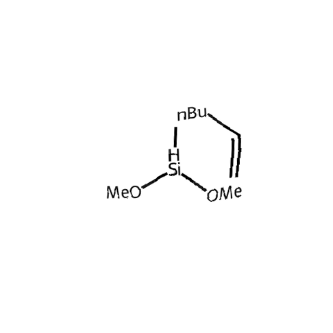 C=CCCCC.CO[SiH](C)OC